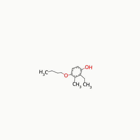 CCCCOc1ccc(O)c(CC)c1C